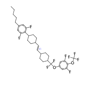 CCCCCc1cc(F)c(C2CCC(/C=C/C3CCC(C(F)(F)Oc4cc(F)c(OC(F)(F)F)c(F)c4)CC3)CC2)c(F)c1